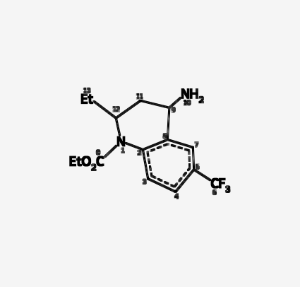 CCOC(=O)N1c2ccc(C(F)(F)F)cc2C(N)CC1CC